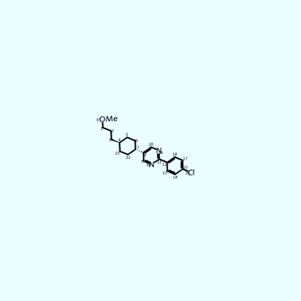 COCCC[C@H]1CC[C@H](c2cnc(-c3ccc(Cl)cc3)nc2)CC1